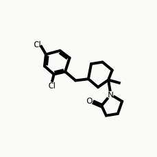 CC1(N2CCCC2=O)CCCC(Cc2ccc(Cl)cc2Cl)C1